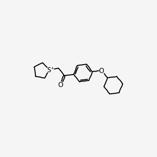 O=C(C[S+]1CCCC1)c1ccc(OC2CCCCC2)cc1